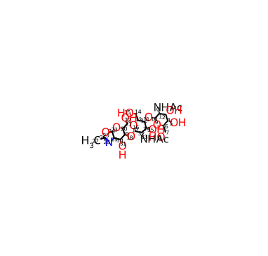 CC(=O)N[C@H]1C(O)[C@H](O)C(CO)O[C@H]1O[C@@H]1C(CO)O[C@@H](O[C@@H]2C(CO)OC3OC(C)=NC3[C@H]2O)[C@@H](NC(C)=O)C1O